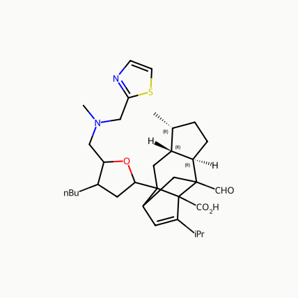 CCCCC1CC(C23C[C@@H]4[C@H](C)CC[C@H]4C4(C=O)CC2C=C(C(C)C)C34C(=O)O)OC1CN(C)Cc1nccs1